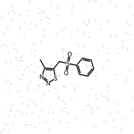 Cc1nnsc1CS(=O)(=O)c1ccccc1